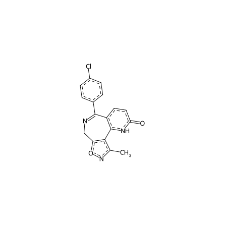 Cc1noc2c1-c1[nH]c(=O)ccc1C(c1ccc(Cl)cc1)=NC2